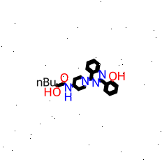 CCCCC(O)C(=O)NC1CCN(c2nc(-c3ccccc3O)nc3ccccc23)CC1